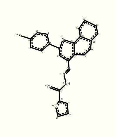 O=C(NN=Cc1cc(-c2ccc(F)cc2)nc2c1ccc1ccccc12)c1cccs1